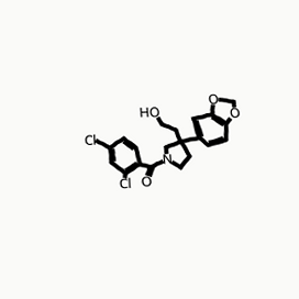 O=C(c1ccc(Cl)cc1Cl)N1CCC(CCO)(c2ccc3c(c2)OCO3)C1